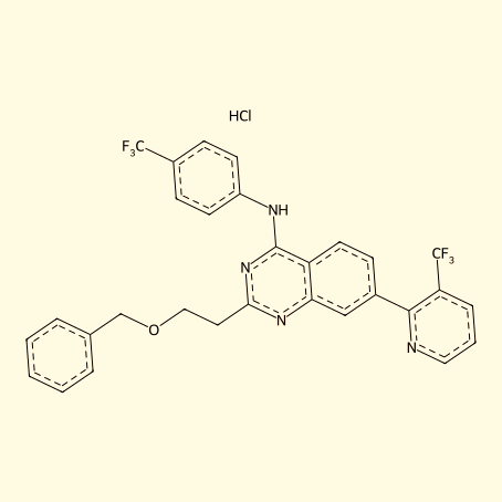 Cl.FC(F)(F)c1ccc(Nc2nc(CCOCc3ccccc3)nc3cc(-c4ncccc4C(F)(F)F)ccc23)cc1